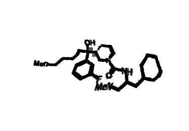 CNCC(CC1CCCCC1)NC(=O)N1CCC[C@@H]([C@@](O)(CCCCOC)c2cccc(F)c2)C1